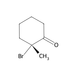 C[C@@]1(Br)CCCCC1=O